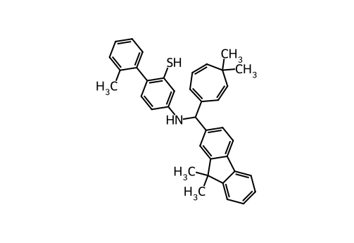 Cc1ccccc1-c1ccc(NC(C2=CC=CC(C)(C)C=C2)c2ccc3c(c2)C(C)(C)c2ccccc2-3)cc1S